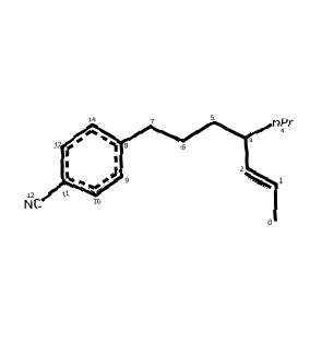 C/C=C/C(CCC)CCCc1ccc(C#N)cc1